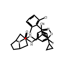 N#Cc1cc(F)cc(NC(=O)N2C3CCC2CC(OCc2c(-c4c(Cl)cccc4Cl)noc2C2CC2)C3)c1